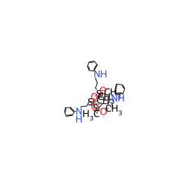 CO[Si](C)(CCCNc1ccccc1)O[Si](C)(CCCNc1ccccc1)O[Si](C)(CCCNc1ccccc1)OC